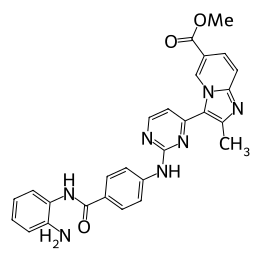 COC(=O)c1ccc2nc(C)c(-c3ccnc(Nc4ccc(C(=O)Nc5ccccc5N)cc4)n3)n2c1